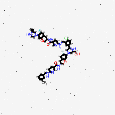 O=C(N[C@@H]1COc2cc(N3CC(CO)NC(c4ccc(Cl)c(CNc5ccc(C(=O)N[C@@H]6COc7cc(N8CCNC9(CC9)C8)c(F)cc7C6)cn5)c4)C3)c(F)cc2C1)c1ccc(NCc2cccc(C(F)(F)F)c2)nc1